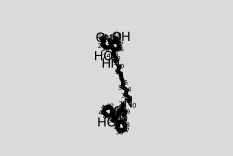 CN(CCCCCCCCCNC[C@H](O)c1ccc(O)c2[nH]c(=O)ccc12)Cc1cnc(C(O)(c2ccccc2)c2ccccc2)o1